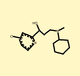 CN(CCC(O)c1cc(Cl)ccn1)C1CCCCC1